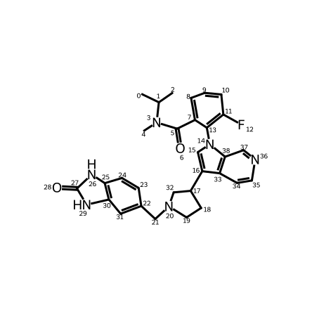 CC(C)N(C)C(=O)c1cccc(F)c1-n1cc(C2CCN(Cc3ccc4[nH]c(=O)[nH]c4c3)C2)c2ccncc21